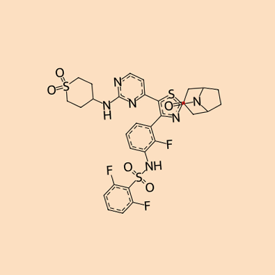 O=C1CC2CCC(C1)N2c1nc(-c2cccc(NS(=O)(=O)c3c(F)cccc3F)c2F)c(-c2ccnc(NC3CCS(=O)(=O)CC3)n2)s1